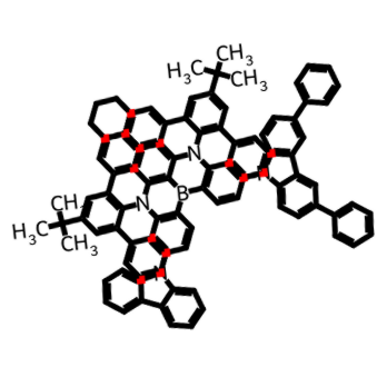 CC(C)(C)c1cc(-c2ccccc2)c(N2c3cc(-n4c5ccccc5c5ccccc54)ccc3B3c4ccc(-n5c6ccc(-c7ccccc7)cc6c6cc(-c7ccccc7)ccc65)cc4N(c4c(-c5ccccc5)cc(C(C)(C)C)cc4-c4ccccc4)c4cc(C5CCCCC5)cc2c43)c(-c2ccccc2)c1